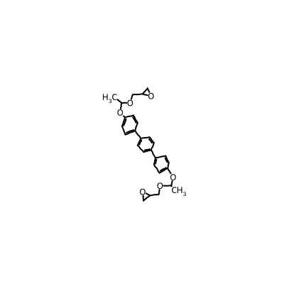 CC(OCC1CO1)Oc1ccc(-c2ccc(-c3ccc(OC(C)OCC4CO4)cc3)cc2)cc1